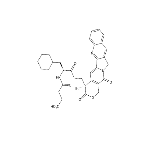 CC[C@@]1(CCC(=O)[C@H](CC2CCCCC2)NC(=O)CCC(=O)O)C(=O)OCc2c1cc1n(c2=O)Cc2cc3ccccc3nc2-1